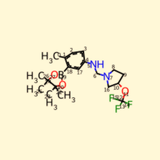 Cc1ccc(NCN2CC[C@@H](OC(F)(F)F)C2)cc1B1OC(C)(C)C(C)(C)O1